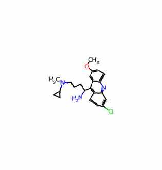 COc1ccc2nc3cc(Cl)ccc3c(C(N)CCCN(C)C3CC3)c2c1